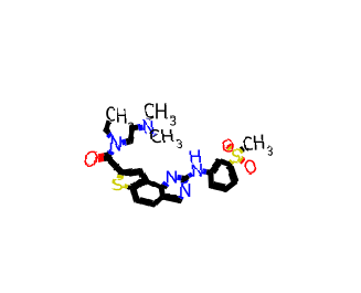 CCN(CCN(C)C)C(=O)c1cc2c(ccc3cnc(Nc4cccc(S(C)(=O)=O)c4)nc32)s1